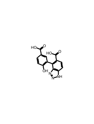 O=C(O)c1ccc(O)c(-c2c(C(=O)O)ccc3[nH]nnc23)c1